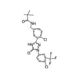 CC(C)(C)C(=O)NCc1ccc(Cl)c(-c2nn(-c3ccc(Cl)c(C(F)(F)F)c3)c(=O)[nH]2)c1